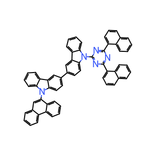 c1ccc2c(-c3nc(-c4cccc5ccccc45)nc(-n4c5ccccc5c5cc(-c6ccc7c(c6)c6ccccc6n7-c6cc7ccccc7c7ccccc67)ccc54)n3)cccc2c1